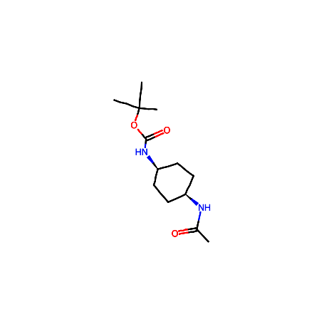 CC(=O)N[C@H]1CC[C@@H](NC(=O)OC(C)(C)C)CC1